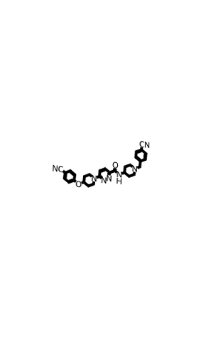 N#Cc1ccc(CN2CCC(NC(=O)c3ccc(N4CCC(Oc5ccc(C#N)cc5)CC4)nn3)CC2)cc1